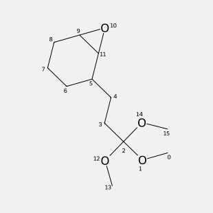 COC(CCC1CCCC2OC12)(OC)OC